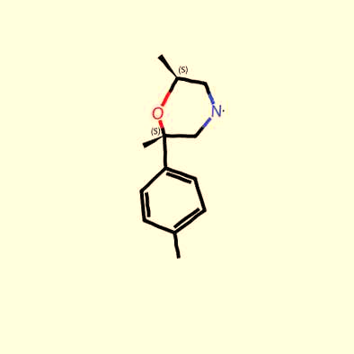 Cc1ccc([C@@]2(C)C[N]C[C@H](C)O2)cc1